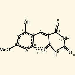 COc1cc(O)c(C=C2C(=O)NC(=O)NC2=O)c(OC)c1